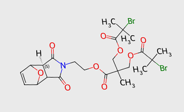 CC(C)(Br)C(=O)OCC(C)(COC(=O)C(C)(C)Br)C(=O)OCCN1C(=O)C2C3C=CC(O3)[C@H]2C1=O